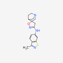 Cc1nsc2cc(NC3=NOC4(C3)CN3CCC4CC3)ccc12